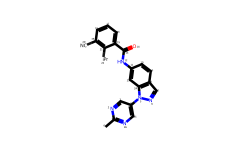 Cc1ncc(-n2ncc3ccc(NC(=O)c4cccc(C#N)c4C(C)C)cc32)cn1